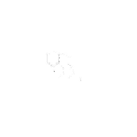 OB(O)c1cc2ccc3cccc4ccc(c1)c2c34